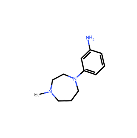 CCN1CCCN(c2cc[c]c(N)c2)CC1